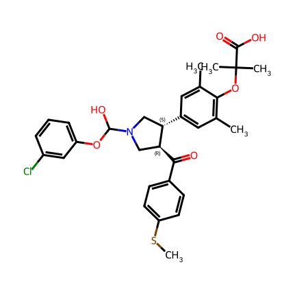 CSc1ccc(C(=O)[C@H]2CN(C(O)Oc3cccc(Cl)c3)C[C@@H]2c2cc(C)c(OC(C)(C)C(=O)O)c(C)c2)cc1